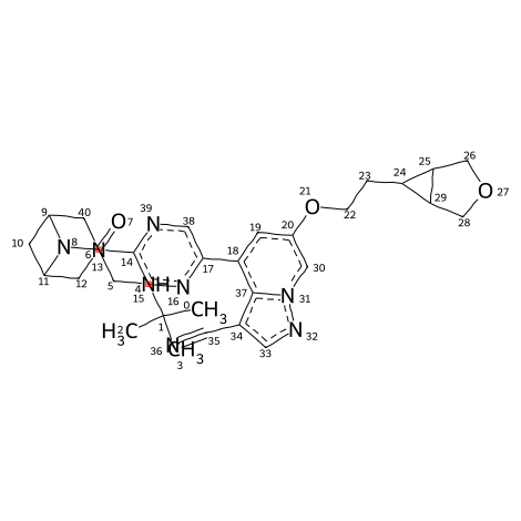 CC(C)(C)NCC(=O)N1C2CC1CN(c1cnc(-c3cc(OCCC4C5COCC45)cn4ncc(C#N)c34)cn1)C2